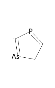 [C]1=[As]CC=P1